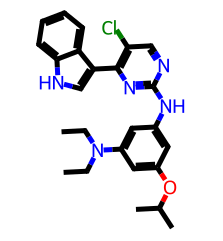 CCN(CC)c1cc(Nc2ncc(Cl)c(-c3c[nH]c4ccccc34)n2)cc(OC(C)C)c1